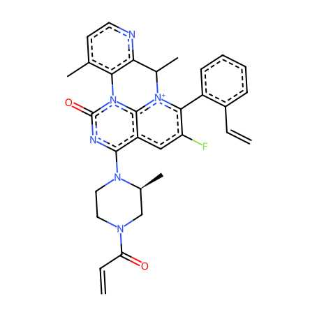 C=CC(=O)N1CCN(c2nc(=O)n3c4c2cc(F)c(-c2ccccc2C=C)[n+]4C(C)c2nccc(C)c2-3)[C@@H](C)C1